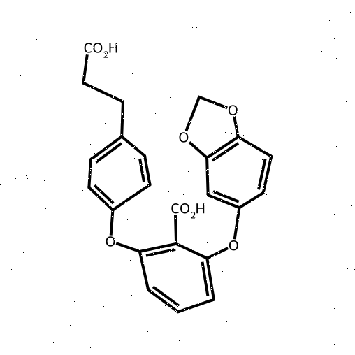 O=C(O)CCc1ccc(Oc2cccc(Oc3ccc4c(c3)OCO4)c2C(=O)O)cc1